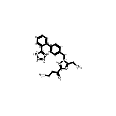 CCCC(=O)c1nc(CC)n(Cc2ccc(-c3ccccc3-c3nnn[nH]3)cc2)n1